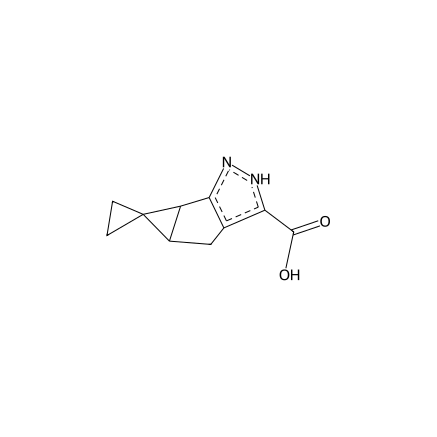 O=C(O)c1[nH]nc2c1CC1C2C12CC2